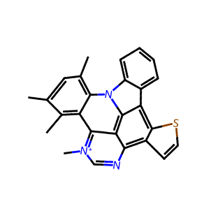 Cc1cc(C)c2c(c1C)c1c3c(nc[n+]1C)c1ccsc1c1c4ccccc4n2c13